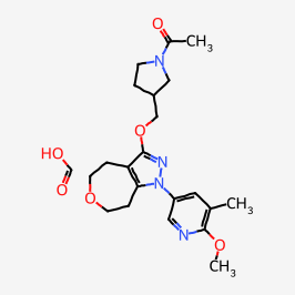 COc1ncc(-n2nc(OCC3CCN(C(C)=O)C3)c3c2CCOCC3)cc1C.O=CO